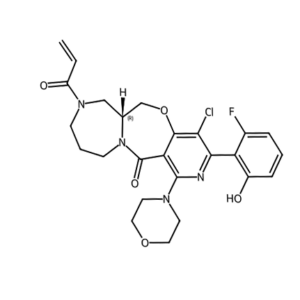 C=CC(=O)N1CCCN2C(=O)c3c(N4CCOCC4)nc(-c4c(O)cccc4F)c(Cl)c3OC[C@H]2C1